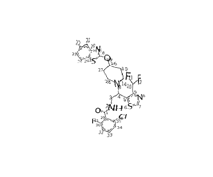 O=C(NCC(c1scnc1C(F)F)N1CCC(Oc2nc3ccccc3s2)CC1)c1c(F)cccc1Cl